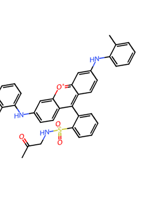 CC(=O)CNS(=O)(=O)c1ccccc1-c1c2ccc(Nc3ccccc3C)cc2[o+]c2cc(Nc3ccccc3C)ccc12